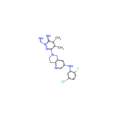 Cc1c(N2CCc3ncc(Nc4cc(Cl)ccc4F)cc3C2)nn(C=N)c(=N)c1C